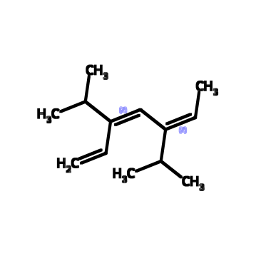 C=C/C(=C\C(=C/C)C(C)C)C(C)C